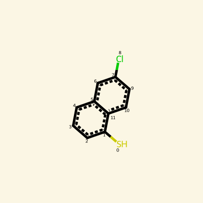 Sc1cccc2cc(Cl)ccc12